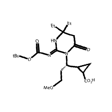 CCC1(CC)CC(=O)N([C@@H](CCOC)C2CC2C(=O)O)C(=NC(=O)OC(C)(C)C)N1